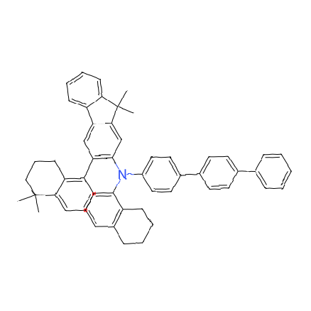 CC1(C)CCCc2c(-c3cc4c(cc3N(c3ccc(-c5ccc(-c6ccccc6)cc5)cc3)c3cccc5c3CCCC5)C(C)(C)c3ccccc3-4)cccc21